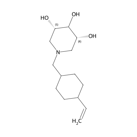 C=CC1CCC(CN2C[C@@H](O)C(O)[C@@H](O)C2)CC1